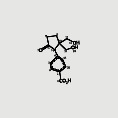 O=C(O)c1ccc(N2C(=O)CCC2(CO)CO)cc1